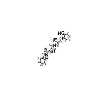 N#Cc1ccccc1OCC(O)CNCCNC(=O)NCc1ccccc1